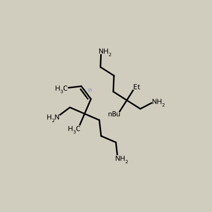 C/C=C\C(C)(CN)CCCN.CCCCC(CC)(CN)CCCN